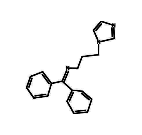 c1ccc(C(=NCCCn2ccnc2)c2ccccc2)cc1